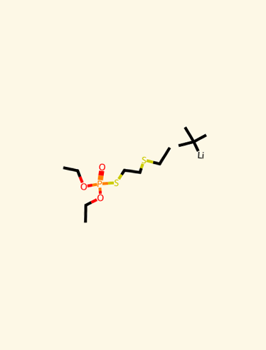 CCOP(=O)(OCC)SCCSCC.[Li][C](C)(C)C